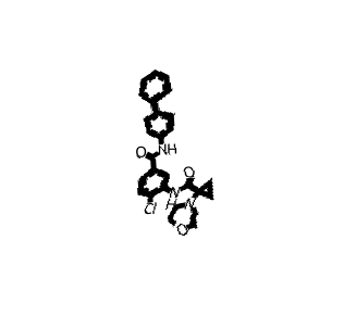 O=C(Nc1ccc(-c2ccccc2)cc1)c1ccc(Cl)c(NC(=O)C2(N3CCOCC3)CC2)c1